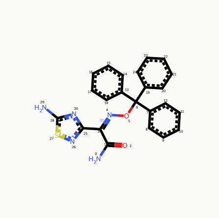 NC(=O)/C(=N\OC(c1ccccc1)(c1ccccc1)c1ccccc1)c1nsc(N)n1